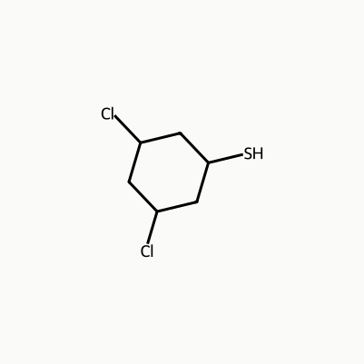 SC1CC(Cl)CC(Cl)C1